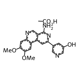 CC(=O)O.COc1cc2ncc3c(N)nc(-c4cncc(O)c4)cc3c2cc1OC